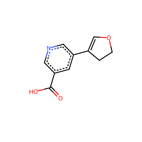 O=C(O)c1cncc(C2=COCC2)c1